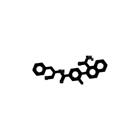 Cc1cc(C(=O)NC(C=O)Cc2ccccc2)ccc1-c1ccc2ccccc2c1C(N)=O